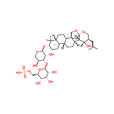 CC(C)=C[C@@H]1CO[C@]23C[C@]4(CO2)[C@@H](CC[C@@H]2[C@@]5(C)CC[C@H](O[C@@H]6OC[C@H](O)[C@@H](O[C@@H]7O[C@H](COS(=O)(=O)O)[C@@H](O)[C@@H](O)[C@H]7O)[C@H]6O)C(C)(C)[C@@H]5CC[C@]24C)[C@H]3[C@@]1(C)O